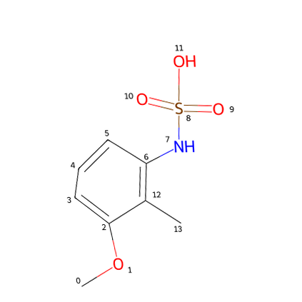 COc1cccc(NS(=O)(=O)O)c1C